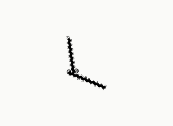 CCCCCC=CCC=CCCCCCCC([C]=O)C(=O)CCCCCCCCCCCCCCC